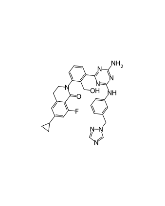 Nc1nc(Nc2cccc(Cn3cncn3)c2)nc(-c2cccc(N3CCc4cc(C5CC5)cc(F)c4C3=O)c2CO)n1